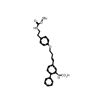 CC(C)(C)OC(=O)NCCc1ccc(OCCC=Cc2ccc(-c3ccccc3)c(NC(=O)O)c2)cc1